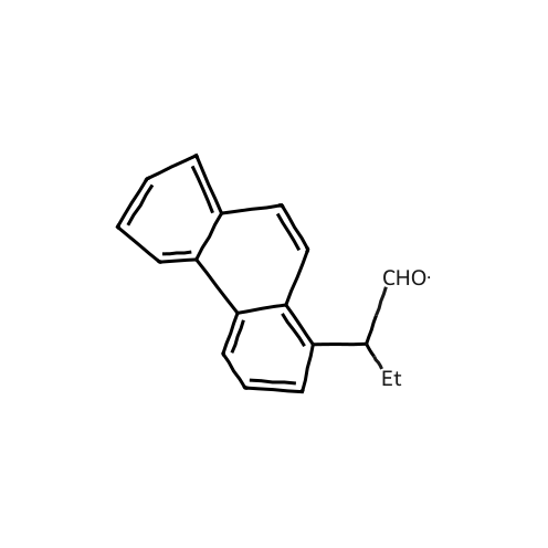 CCC([C]=O)c1cccc2c1ccc1ccccc12